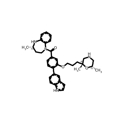 C[C@H]1CCN(C(=O)c2ccc(-c3ccc4[nH]ccc4c3)c(OCCC[C@]3(C)CNC[C@H](C)O3)c2)c2ccccc2N1